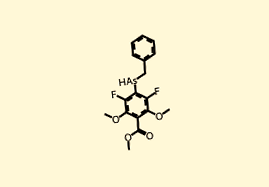 COC(=O)c1c(OC)c(F)c([AsH]Cc2ccccc2)c(F)c1OC